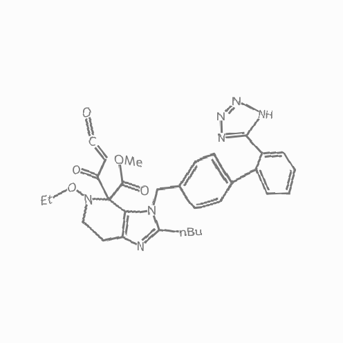 CCCCc1nc2c(n1Cc1ccc(-c3ccccc3-c3nnn[nH]3)cc1)C(C(=O)C=C=O)(C(=O)OC)N(OCC)CC2